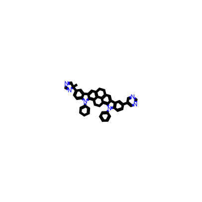 CC1(c2ccc3c(c2)c2cc4c5c(c2n3C2=CCCC=C2)CCc2c-5c(cc3c5cc(-c6cncnc6)ccc5n(-c5ccccc5)c23)CC4)C=NC=N1